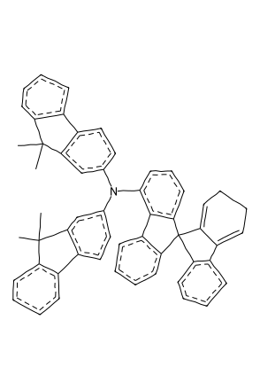 CC1(C)c2ccccc2-c2ccc(N(c3ccc4c(c3)C(C)(C)c3ccccc3-4)c3cccc4c3-c3ccccc3C43C4=CCCC=C4c4ccccc43)cc21